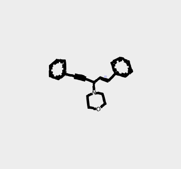 C(#CC(/C=C/c1ccccc1)N1CCOCC1)c1ccccc1